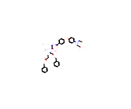 C[C@H](NC(=O)c1ccc(Oc2ccc(N(CCO)CCO)cc2)cc1)C(=O)N[C@@H](CCC(=O)OCc1ccccc1)C(=O)OCc1ccccc1